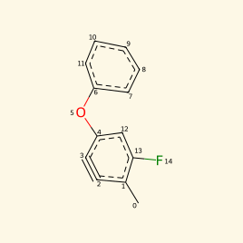 Cc1c#cc(Oc2ccccc2)cc1F